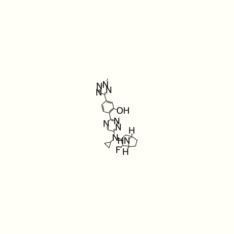 Cn1nnc(-c2ccc(-c3ncc(N(C4CC4)[C@H]4C[C@@H]5CC[C@@H](N5)[C@H]4F)nn3)c(O)c2)n1